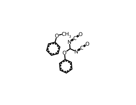 COc1ccccc1.O=C=NC(N=C=O)Oc1ccccc1